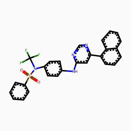 O=S(=O)(c1ccccc1)N(c1ccc(Nc2cc(-c3cccc4ccccc34)ncn2)cc1)C(F)(F)F